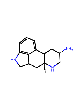 N[C@@H]1CN[C@@H]2CC3CNc4cccc(c43)C2C1